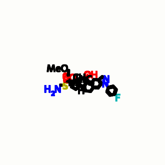 COCC(=O)O[C@]1(C(=O)SCN)CCC2[C@@H]3CCC4=Cc5c(cnn5-c5ccc(F)cc5)C[C@]4(C)[C@@]3(C)[C@@H](O)C[C@@]21C